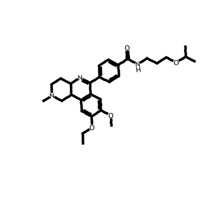 CCOc1cc2c(cc1OC)C(c1ccc(C(=O)NCCCOC(C)C)cc1)=NC1CCN(C)CC21